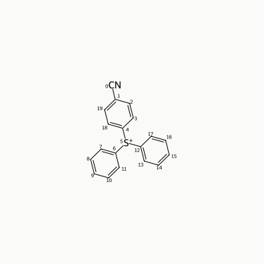 N#Cc1ccc([S+](c2ccccc2)c2ccccc2)cc1